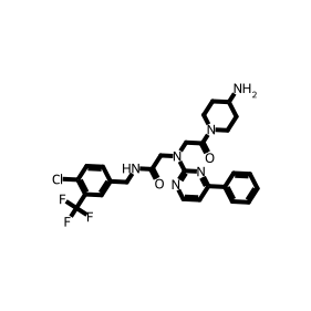 NC1CCN(C(=O)CN(CC(=O)NCc2ccc(Cl)c(C(F)(F)F)c2)c2nccc(-c3ccccc3)n2)CC1